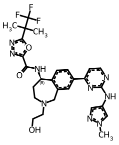 Cn1cc(Nc2nccc(-c3ccc4c(c3)CN(CCO)CC[C@H]4NC(=O)c3nnc(C(C)(C)C(F)(F)F)o3)n2)cn1